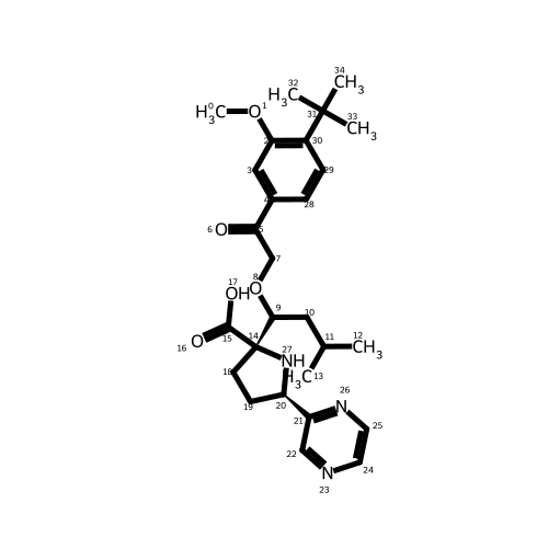 COc1cc(C(=O)COC(CC(C)C)[C@]2(C(=O)O)CC[C@H](c3cnccn3)N2)ccc1C(C)(C)C